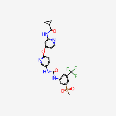 CS(=O)(=O)c1cc(NC(=O)Nc2ccc(Oc3ccnc(NC(=O)C4CC4)c3)nc2)cc(C(F)(F)F)c1